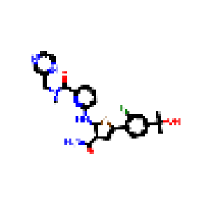 CN(Cc1cnccn1)C(=O)c1cccc(NC2SC(c3ccc(C(C)(C)O)cc3F)=CC2C(N)=O)n1